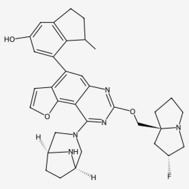 CC1CCc2cc(O)cc(-c3cc4nc(OC[C@@]56CCCN5C[C@H](F)C6)nc(N5C[C@H]6CC[C@@H](C5)N6)c4c4occc34)c21